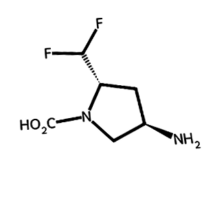 N[C@@H]1C[C@@H](C(F)F)N(C(=O)O)C1